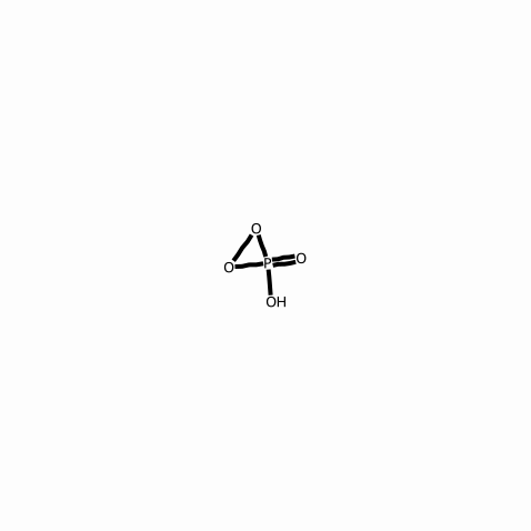 O=P1(O)OO1